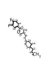 C=CCC1CCC(CCC2COC(c3ccc(F)c(F)c3)OC2)CC1